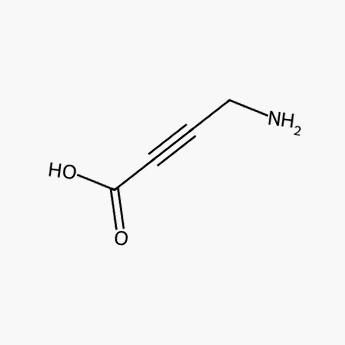 NCC#CC(=O)O